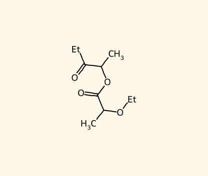 CCOC(C)C(=O)OC(C)C(=O)CC